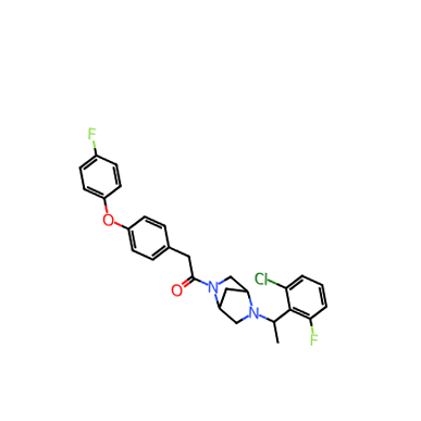 CC(c1c(F)cccc1Cl)N1CC2CC1CN2C(=O)Cc1ccc(Oc2ccc(F)cc2)cc1